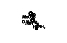 C=NNC(N)=NCOc1cc(C)cc(OS(=O)(=O)c2ccccc2OC)c1.O=[N+]([O-])O